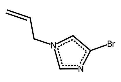 C=CCn1cnc(Br)c1